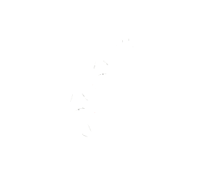 O=C(O)CCc1cc(F)c(OCc2cccc(Oc3cccs3)c2)c(F)c1